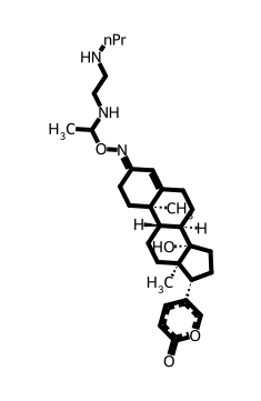 CCCNCCNC(C)O/N=C1/C=C2CC[C@@H]3[C@H](CC[C@]4(C)[C@@H](c5ccc(=O)oc5)CC[C@]34O)[C@@]2(C)CC1